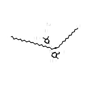 CCCCCCCCCCCCCCC#CC(=Nc1ccc(CC)c(CC)c1)C(CCCCCCCCCCCCCCCCCCC)=Nc1ccc(CC)c(CC)c1.[Ni]